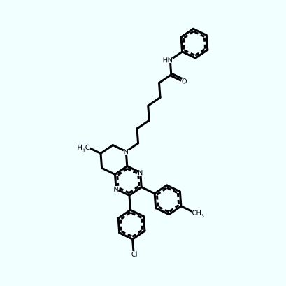 Cc1ccc(-c2nc3c(nc2-c2ccc(Cl)cc2)CC(C)CN3CCCCCCC(=O)Nc2ccccc2)cc1